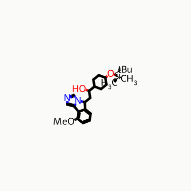 COc1cccc2c1-c1cncn1C2CC(O)C1CCC(O[Si](C)(C)C(C)(C)C)CC1